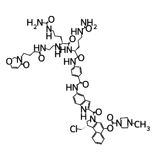 CN1CCN(C(=O)Oc2cc3c(c4ccccc24)[C@H](CCl)CN3C(=O)c2cc3cc(NC(=O)c4ccc(NC(=O)[C@H](CCCNC(N)=O)NC(=O)[C@H](CCCNC(N)=O)NCCNC(=O)CCCN5COC=CC5=O)cc4)ccc3[nH]2)CC1